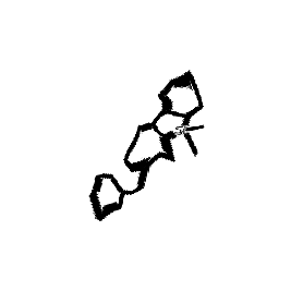 C[Si]1(C)c2ccccc2-c2ccc(Cc3ccccc3)cc21